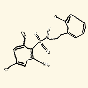 Nc1cc(Cl)cc(Cl)c1S(=O)(=O)NCc1ccccc1Cl